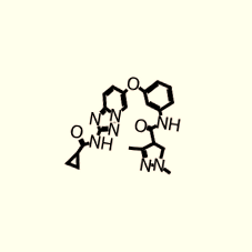 CC1=NN(C)CC1C(=O)Nc1cccc(Oc2ccc3nc(NC(=O)C4CC4)nn3c2)c1